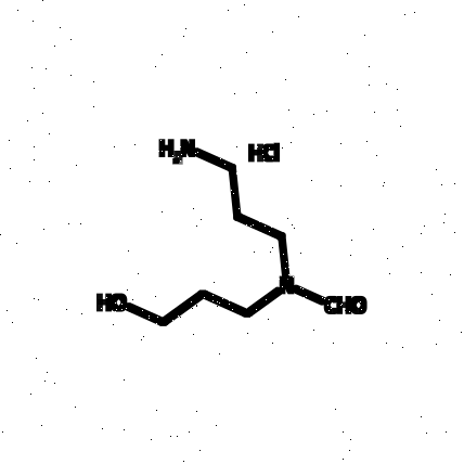 Cl.NCCCN(C=O)CCCO